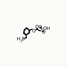 BCc1cccc(COC(=O)CS(=O)(=O)O)c1